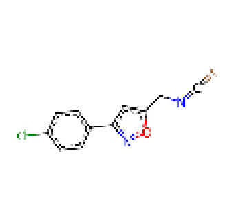 S=C=NCc1cc(-c2ccc(Cl)cc2)no1